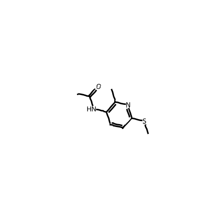 CSc1ccc(NC(C)=O)c(C)n1